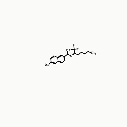 CCCCC[C@@H](OC(=O)c1ccc2cc(O)ccc2c1)C(F)(F)F